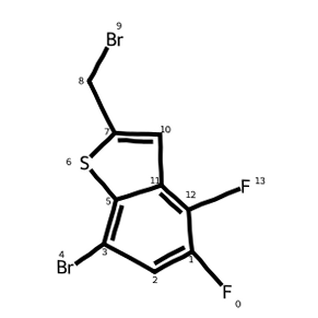 Fc1cc(Br)c2sc(CBr)cc2c1F